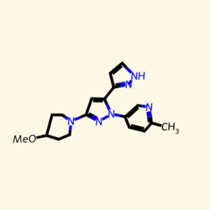 COC1CCN(c2cc(-c3cc[nH]n3)n(-c3ccc(C)nc3)n2)CC1